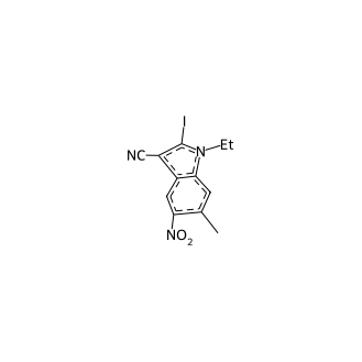 CCn1c(I)c(C#N)c2cc([N+](=O)[O-])c(C)cc21